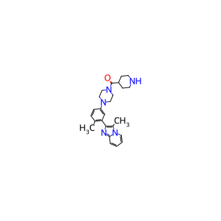 Cc1ccc(N2CCN(C(=O)C3CCNCC3)CC2)cc1-c1nc2ccccn2c1C